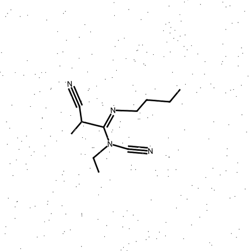 CCCCN=C(C(C)C#N)N(C#N)CC